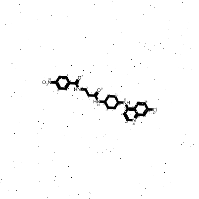 O=C(CCNC(=O)c1ccc([N+](=O)[O-])cc1)NC1CCC(Nc2ccnc3cc(Cl)ccc23)CC1